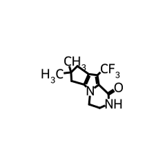 CC1(C)Cc2c(C(F)(F)F)c3n(c2C1)CCNC3=O